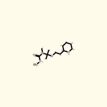 CN(C(=O)OC(C)(C)C)C(C)(C)OCCC1CCCCO1